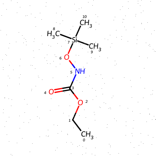 CCOC(=O)NO[Si](C)(C)C